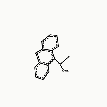 CC(=O)OC(C)c1c2ccccc2cc2ccccc12